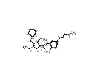 COCCOc1ccc(S)c(N(C)/C(C)=C2/SC(SC)=[N+](Cc3ccccc3)C2=O)c1